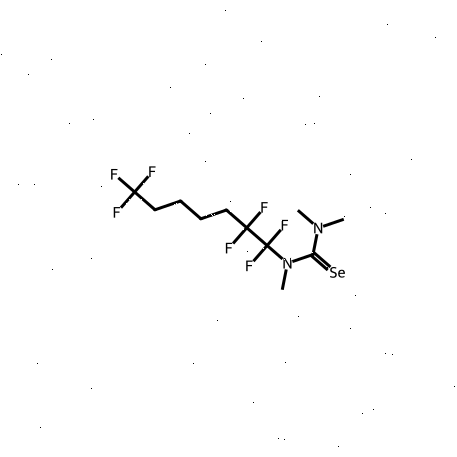 CN(C)C(=[Se])N(C)C(F)(F)C(F)(F)CCCCC(F)(F)F